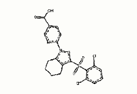 O=C(O)c1ccc(-n2nc(S(=O)(=O)c3c(Cl)cccc3Cl)c3c2CCCC3)nc1